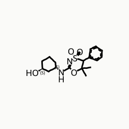 CC1(C)OC(N[C@H]2CCC[C@H](O)C2)=NS(=O)(=O)C1c1ccccc1